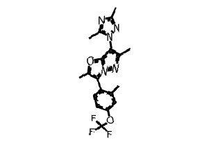 Cc1nc(C)n(-c2c(C)nn3c(-c4ccc(OC(F)(F)F)cc4C)c(C)oc23)n1